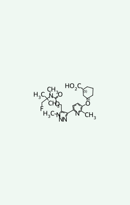 Cc1nc(-c2nnn(C)c2COC(=O)N(C)C(C)(C)CF)ccc1O[C@H]1CCC[C@H](C(=O)O)C1